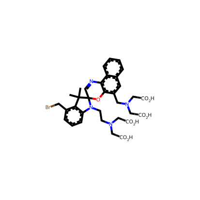 CC1(C)c2c(CBr)cccc2N(CCN(CC(=O)O)CC(=O)O)C12C=Nc1c(c(CN(CC(=O)O)CC(=O)O)cc3ccccc13)O2